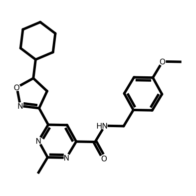 COc1ccc(CNC(=O)c2cc(C3=NOC(C4CCCCC4)C3)nc(C)n2)cc1